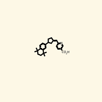 CC1(C)CCC(C)(C)c2cc(C3CCC(=Cc4ccc(C(=O)O)cn4)C3)ccc21